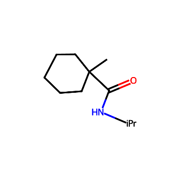 CC(C)NC(=O)C1(C)CCCCC1